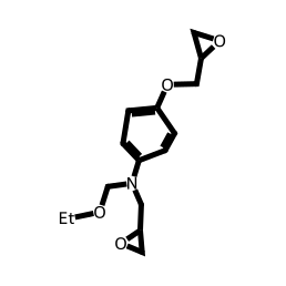 CCOCN(CC1CO1)c1ccc(OCC2CO2)cc1